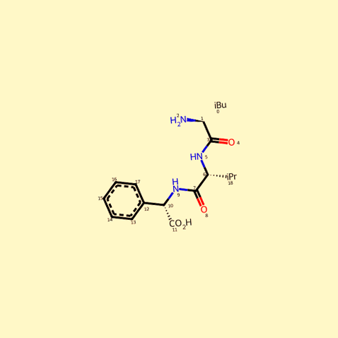 CC[C@H](C)[C@H](N)C(=O)N[C@@H](C(=O)N[C@H](C(=O)O)c1ccccc1)C(C)C